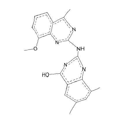 COc1cccc2c(C)nc(Nc3nc(O)c4cc(C)cc(C)c4n3)nc12